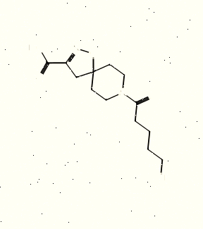 CCCCCC(=O)N1CCC2(CC1)CC(C(=O)O)=NO2